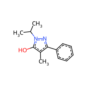 Cc1c(-c2ccccc2)nn(C(C)C)c1O